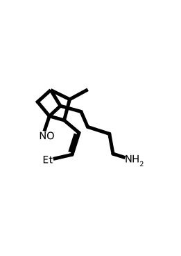 CC/C=C\C1C(C)C2CC1(N=O)C2CCCCN